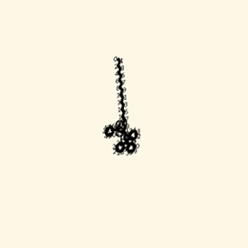 CCCCCCCCCCCCCCCCCCOCC(COC(c1ccccc1)(c1ccccc1)c1ccccc1)OC(=O)c1ccccc1